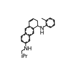 Cc1ccccc1NC1CC=Cc2cc3ccc(NCC(C)C)cc3cc21